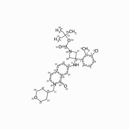 Cc1c(Cl)cccc1C1(Nc2ccc3ccn(CC4CCOCC4)c(=O)c3c2)CN(C(=O)OC(C)(C)C)C1